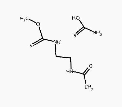 COC(=S)NCCNC(C)=O.NC(O)=S